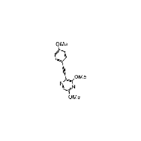 COc1ccc(C#Cc2ncc(OC)nc2OC)cc1